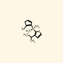 CC(C)c1ccsc1[Si](C)(C)C1=[C]([Sn])CC=C1